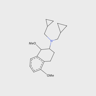 COc1cccc2c1CCC(N(CC1CC1)CC1CC1)C2OC